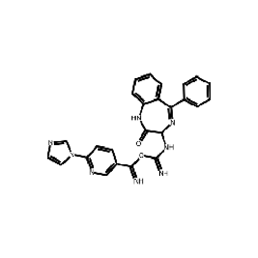 N=C(NC1N=C(c2ccccc2)c2ccccc2NC1=O)OC(=N)c1ccc(-n2ccnc2)nc1